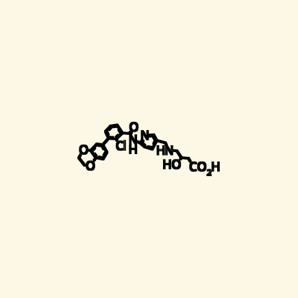 O=C(O)CC(O)CNCc1ccc(NC(=O)c2cccc(-c3ccc4c(c3)OCCO4)c2Cl)nc1